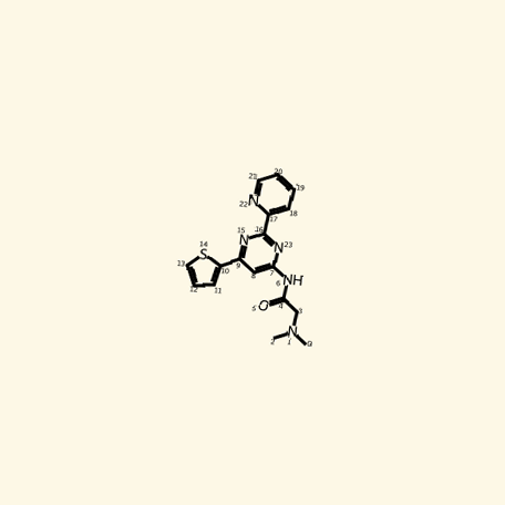 CN(C)CC(=O)Nc1cc(-c2cccs2)nc(-c2ccccn2)n1